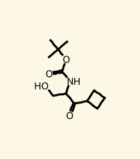 CC(C)(C)OC(=O)NC(CO)C(=O)C1CCC1